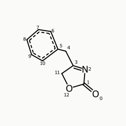 O=C1N=C(Cc2ccccc2)CO1